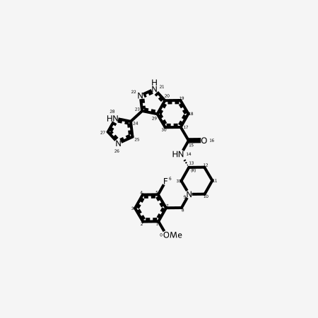 COc1cccc(F)c1CN1CCC[C@@H](NC(=O)c2ccc3[nH]nc(-c4cnc[nH]4)c3c2)C1